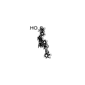 Cc1cccc(OCCCC(=O)N2C[C@@H]3C[C@@H]3c3c(-c4cnn(Cc5cccc(OC(C)(C)C(=O)O)c5)c4)cccc32)c1C